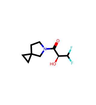 O=C([C@H](O)C(F)F)N1CCC2(CC2)C1